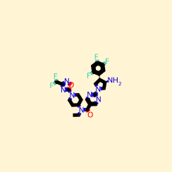 CCN(C(=O)c1cnc(N2C[C@H](c3cc(F)c(F)cc3F)[C@@H](N)C2)nc1)C1CCN(c2nc(C(F)F)no2)CC1